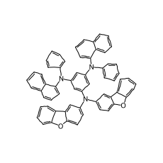 c1ccc(N(c2cc(N(c3ccc4oc5ccccc5c4c3)c3ccc4oc5ccccc5c4c3)cc(N(c3ccccc3)c3cccc4ccccc34)c2)c2cccc3ccccc23)cc1